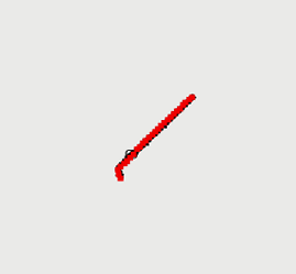 CCCC/C=C\CCCCCCCC(=O)OCCCCCCCCCCCCCCCCCCCCCCCCCCCCCCCCCCCCCCCC